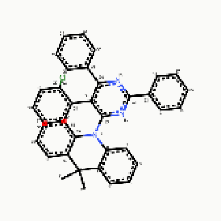 CC1(C)c2ccccc2N(c2nc(-c3ccccc3)nc(-c3ccccc3)c2-c2ccccc2Cl)c2ccccc21